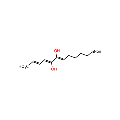 CCCCCCCCCCCCC/C=C(O)/C(O)=C/C=C/C(=O)O